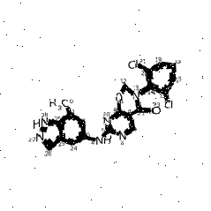 Cc1cc(Nc2ncc3c(n2)OCN(c2c(Cl)cccc2Cl)C3=O)cc2cn[nH]c12